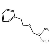 N[C@@H](COCCc1ccccc1)C(=O)O